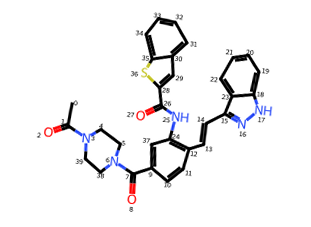 CC(=O)N1CCN(C(=O)c2ccc(/C=C/c3n[nH]c4ccccc34)c(NC(=O)c3cc4ccccc4s3)c2)CC1